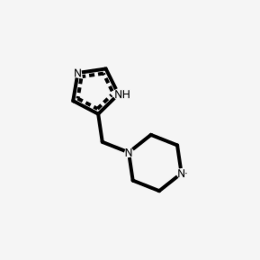 c1ncc(CN2CC[N]CC2)[nH]1